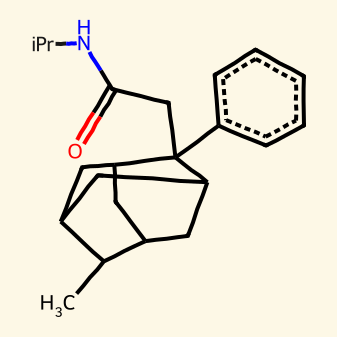 CC(C)NC(=O)CC1(c2ccccc2)C2CC3CC1CC(C2)C3C